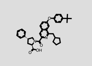 CC(C)(C)c1ccc(Oc2ccc3cc(C(=O)N4C[C@@H](c5ccccc5)C[C@@H]4C(=O)O)nc(CC4CCCC4)c3c2)cc1